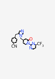 N#Cc1ccc(Cc2cncn2Cc2ccn(-c3nccc(C(F)(F)F)n3)c(=O)c2)cc1